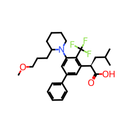 COCCCC1CCCCN1c1cc(-c2ccccc2)cc([C@@H](CC(C)C)C(=O)O)c1C(F)(F)F